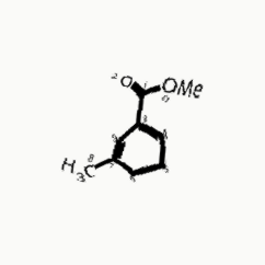 COC(=O)C1=CCCC(C)=C1